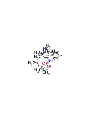 CCCC1OP(N(Cc2ccccc2)C2CC(C)(C)NC(C)(C)C2)OCC1(C)C